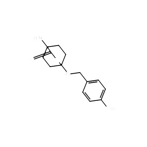 COc1ccc(CNC23CCC(N)(CC2)C(=O)C3)cc1